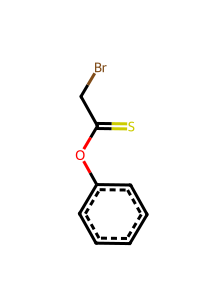 S=C(CBr)Oc1ccccc1